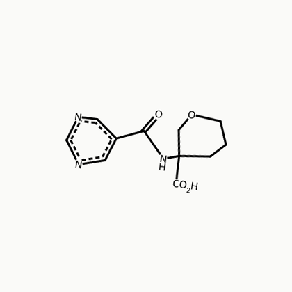 O=C(NC1(C(=O)O)CCCOC1)c1cncnc1